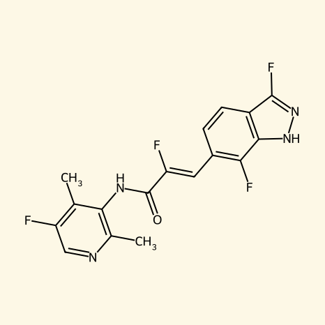 Cc1ncc(F)c(C)c1NC(=O)/C(F)=C/c1ccc2c(F)n[nH]c2c1F